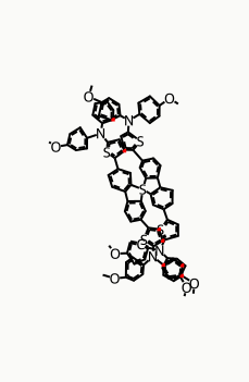 COc1ccc(N(c2ccccc2)c2ccc(-c3ccc4c(c3)S3(c5cc(-c6ccc(N(c7ccc(OC)cc7)c7ccc(OC)cc7)s6)ccc5-4)c4cc(-c5ccc(N(c6ccc(OC)cc6)c6ccc(OC)cc6)s5)ccc4-c4ccc(-c5ccc(N(c6ccc(OC)cc6)c6ccc(OC)cc6)s5)cc43)s2)cc1